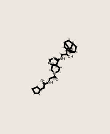 O=C(CC1CCCC1)NCC(=O)N1CCc2c(ncnc2NCC(O)C23CC4CC(CC(C4)C2)C3)C1